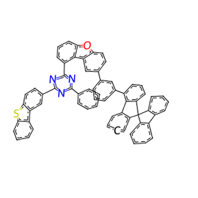 c1ccc(-c2nc(-c3ccc4sc5ccccc5c4c3)nc(-c3cccc4oc5ccc(-c6cccc(-c7cccc8c7-c7ccccc7C87c8ccccc8-c8ccccc87)c6)cc5c34)n2)cc1